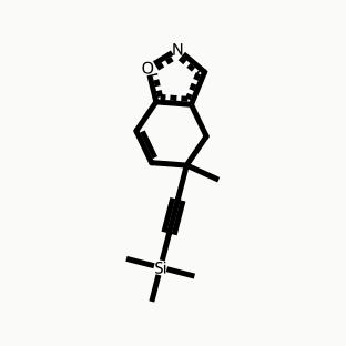 CC1(C#C[Si](C)(C)C)C=Cc2oncc2C1